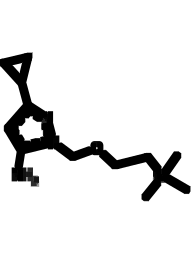 C[Si](C)(C)CCOCn1nc(C2CC2)cc1N